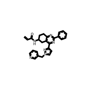 C=CC(=O)NC1CCc2nc(-c3ccccc3)nc(-c3ccn(Cc4cccnc4)n3)c2C1